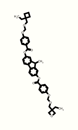 CCC1(COCOc2ccc(C(=O)Oc3ccc4c(c3)C(C)c3cc(OC(=O)c5ccc(OCOCC6(CC)COC6)cc5)ccc3-4)cc2)CCC1